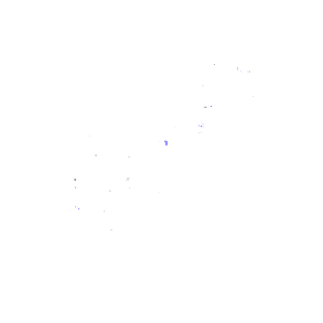 CCCC(CC)C1=C2C(=O)c3c(NC(=O)NN4CCN(C)CC4)cccc3C2N=N1